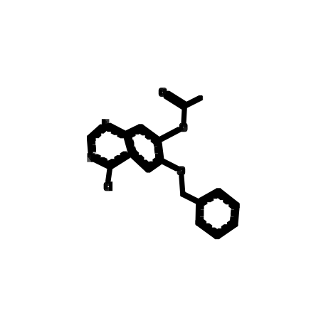 CC(=O)Oc1cc2ncnc(Cl)c2cc1OCc1ccccc1